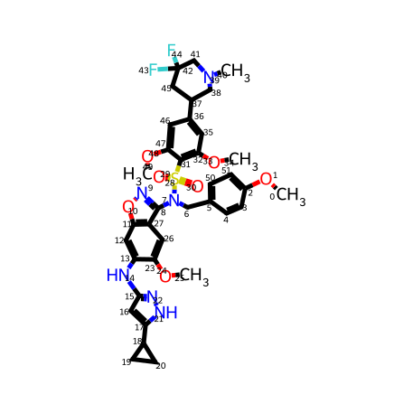 COc1ccc(CN(c2noc3cc(Nc4cc(C5CC5)[nH]n4)c(OC)cc23)S(=O)(=O)c2c(OC)cc(C3CN(C)CC(F)(F)C3)cc2OC)cc1